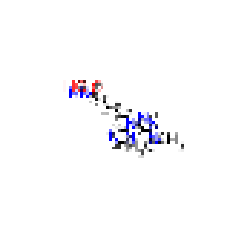 CN(C)c1cc(N(CCCCCCC(=O)NO)c2cnccn2)ncn1